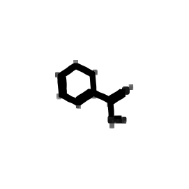 COC(=O)C1=CC=CC[CH]1